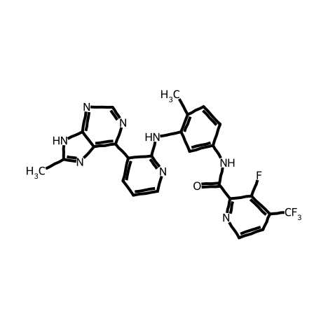 Cc1nc2c(-c3cccnc3Nc3cc(NC(=O)c4nccc(C(F)(F)F)c4F)ccc3C)ncnc2[nH]1